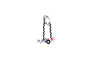 CCCCCCCCCCCC(=O)[O-].CCCCCCCCCCCCCCCC[N+](C)(C)Cc1ccccc1